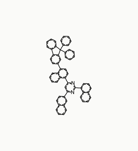 c1ccc(C2(c3ccccc3)c3ccccc3-c3ccc(-c4ccc(-c5cc(-c6ccc7ccccc7c6)nc(-c6cccc7ccccc67)n5)c5ccccc45)cc32)cc1